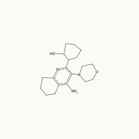 Nc1c2c(nc(C3CCCCC3O)c1N1CCOCC1)CCCC2